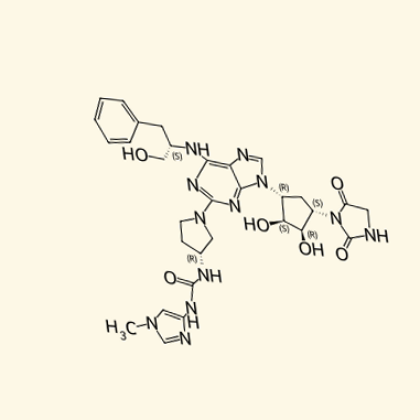 Cn1cnc(NC(=O)N[C@@H]2CCN(c3nc(N[C@H](CO)Cc4ccccc4)c4ncn([C@@H]5C[C@H](N6C(=O)CNC6=O)[C@@H](O)[C@H]5O)c4n3)C2)c1